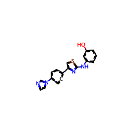 Oc1cccc(Nc2nc(-c3ccc(-n4ccnc4)cc3)cs2)c1